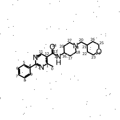 Cc1nc(-c2ccccc2)ncc1C(=O)NC1CCN(CC2CCOCC2)CC1